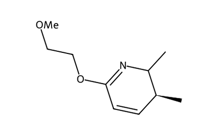 COCCOC1=NC(C)[C@@H](C)C=C1